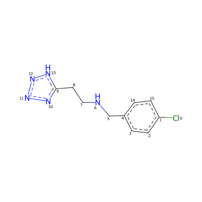 Clc1ccc(CNCCc2nnn[nH]2)cc1